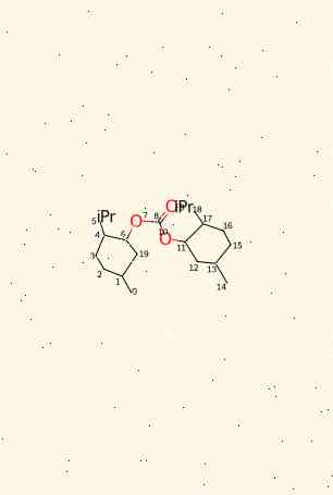 CC1CCC(C(C)C)C(OC(=O)OC2CC(C)CCC2C(C)C)C1